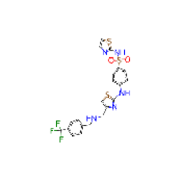 O=S(=O)(Nc1nccs1)c1ccc(Nc2nc(CNCc3ccc(C(F)(F)F)cc3)cs2)cc1